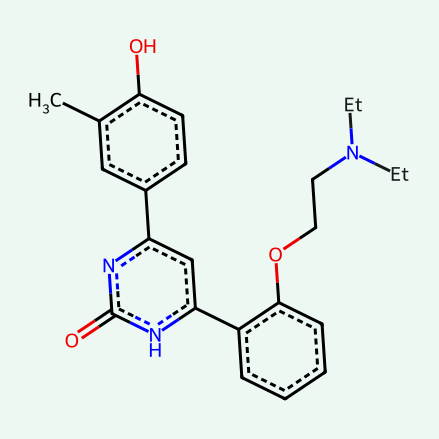 CCN(CC)CCOc1ccccc1-c1cc(-c2ccc(O)c(C)c2)nc(=O)[nH]1